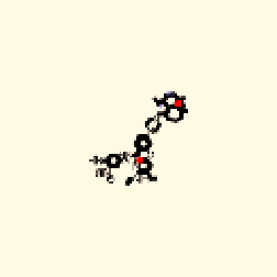 C=CNc1ncc(Oc2cc(N3CCN(CC4=C(C(/C=C\C(C)Cl)=C/C)CC(C)(C)CCC4)CC3)ccc2C(=O)NSc2ccc(NC)c([N+](=O)[O-])c2)cc1CC